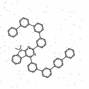 C[Si]1(C)c2ccccc2-c2c(-c3cccc(-c4cccc(-c5ccc(-c6ccccc6)cc5)c4)c3)nc(-c3cccc(-c4cccc(-c5cccc(-c6ccccc6)c5)c4)c3)nc21